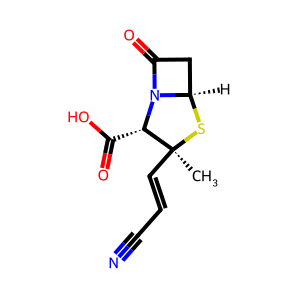 C[C@@]1(C=CC#N)S[C@@H]2CC(=O)N2[C@H]1C(=O)O